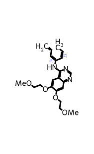 C=C/C=C(\C=C/C)Nc1ncnc2cc(OCCOC)c(OCCOC)cc12